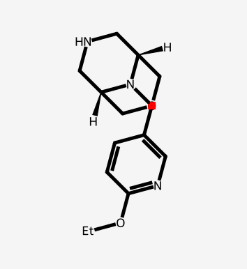 CCOc1ccc(CN2[C@@H]3CNC[C@H]2COC3)cn1